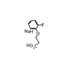 O=C(O)CCOc1ccccc1F.[NaH]